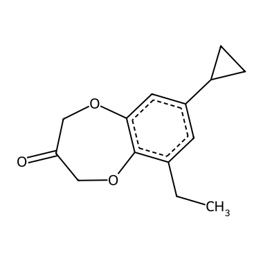 CCc1cc(C2CC2)cc2c1OCC(=O)CO2